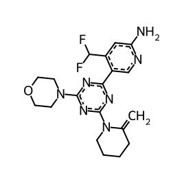 C=C1CCCCN1c1nc(-c2cnc(N)cc2C(F)F)nc(N2CCOCC2)n1